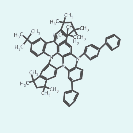 CC(C)(C)c1ccc(N2c3cc4c(cc3B3c5cc(-c6ccccc6)ccc5N(c5ccc(-c6ccccc6)cc5)c5cc(C(C)(C)C)cc2c53)C(C)(C)CC4(C)C)c(-c2ccc3c(c2)C(C)(C)CC3(C)C)c1